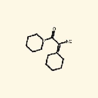 [C-]#[N+]C(C(=O)N1CCCCC1)=C1CCCCC1